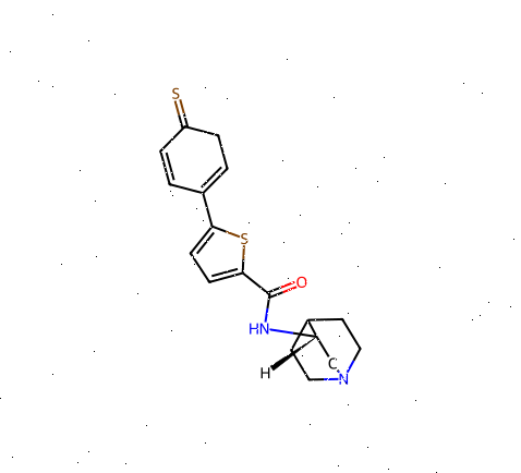 O=C(N[C@H]1CN2CCC1CC2)c1ccc(C2=CCC(=S)C=C2)s1